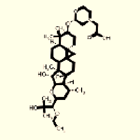 CCO[C@@H](C1C[C@@H](C)[C@H]2C(O1)[C@H](O)[C@@]1(C)C3CC[C@H]4C(C)(C)[C@@H](O[C@H]5CN(CC(=O)O)CCO5)CC[C@@]45CC35CC[C@]21C)C(C)(C)O